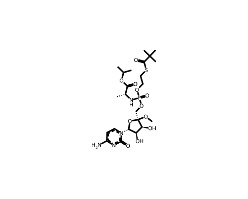 CO[C@]1(COP(=O)(N[C@H](C)C(=O)OC(C)C)OCCSC(=O)C(C)(C)C)O[C@@H](n2ccc(N)nc2=O)[C@H](O)[C@@H]1O